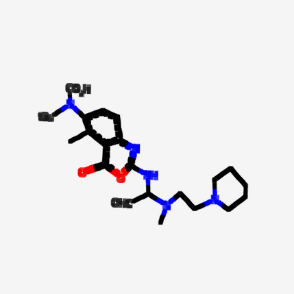 Cc1c(N(C(=O)O)C(C)(C)C)ccc2nc(NC(C=O)N(C)CCN3CCCCC3)oc(=O)c12